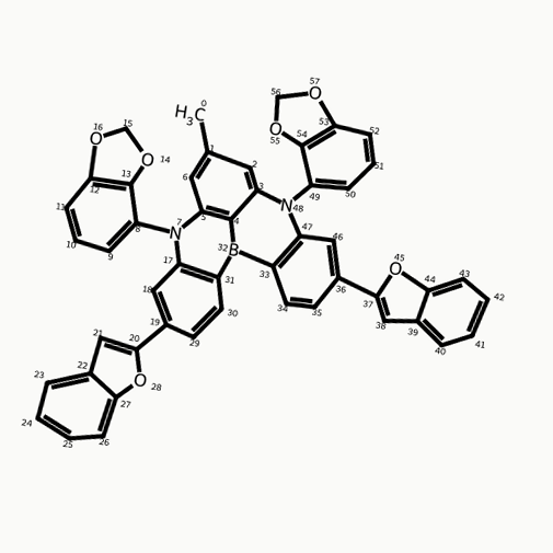 Cc1cc2c3c(c1)N(c1cccc4c1OCO4)c1cc(-c4cc5ccccc5o4)ccc1B3c1ccc(-c3cc4ccccc4o3)cc1N2c1cccc2c1OCO2